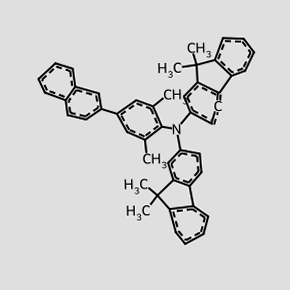 Cc1cc(-c2ccc3ccccc3c2)cc(C)c1N(c1ccc2c(c1)C(C)(C)c1ccccc1-2)c1ccc2c(c1)C(C)(C)c1ccccc1-2